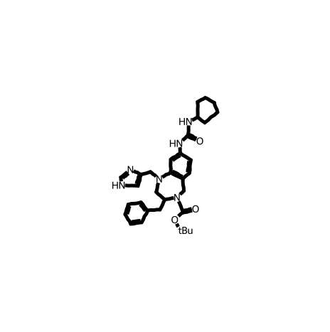 CC(C)(C)OC(=O)N1Cc2ccc(NC(=O)NC3CCCCC3)cc2N(Cc2c[nH]cn2)CC1Cc1ccccc1